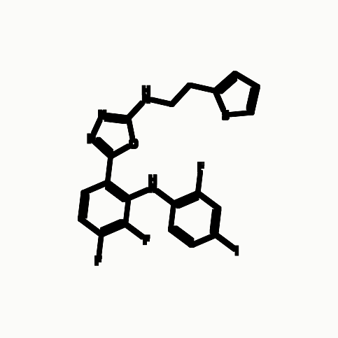 Fc1cc(I)ccc1Nc1c(-c2nnc(NCCc3cccs3)o2)ccc(F)c1F